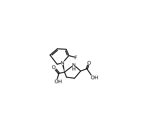 O=C(O)C1CC[C@@](C(=O)O)(N2CC=CC=C2F)N1